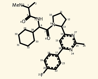 CNC(C)C(=O)NC(C(=O)N1CCCC1c1cc(-c2ccc(F)cc2)nc(C)n1)C1CCCCC1